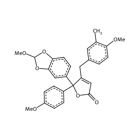 COc1ccc(C2(c3ccc4c(c3)OC(OC)O4)OC(=O)C=C2Cc2ccc(OC)c(C)c2)cc1